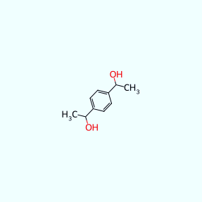 CC(O)c1ccc(C(C)O)cc1